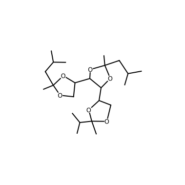 CC(C)CC1(C)OCC(C2OC(C)(CC(C)C)OC2C2COC(C)(C(C)C)O2)O1